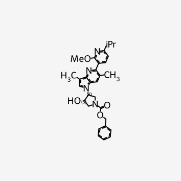 COc1nc(C(C)C)ccc1-c1nc2c(C)cn([C@@H]3CN(C(=O)OCc4ccccc4)C[C@@H]3O)c2cc1C